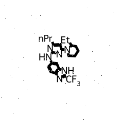 CCCc1cc(N2CCCCC2CC)nc(Nc2ccc3nc(C(F)(F)F)[nH]c3c2)n1